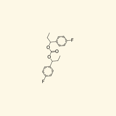 CCC(OC(=O)OC(CC)c1ccc(F)cc1)c1ccc(F)cc1